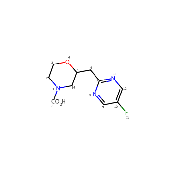 O=C(O)N1CCOC(Cc2ncc(F)cn2)C1